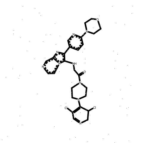 O=C(CNc1c(-c2ccc(N3CCOCC3)nc2)nc2cnccn12)N1CCN(C2=C(Cl)C=NCC2Cl)CC1